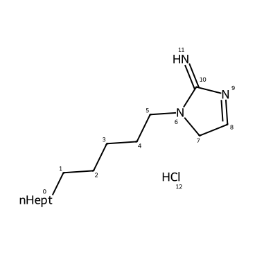 CCCCCCCCCCCCN1CC=NC1=N.Cl